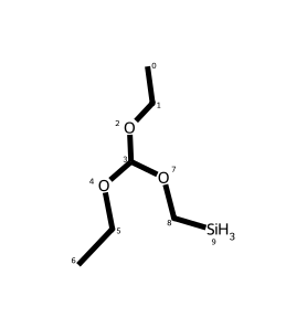 CCOC(OCC)OC[SiH3]